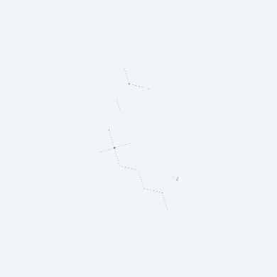 CCC(C)(COCC(C)N)COCC(C)N